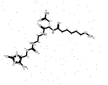 CSCCCCCC(=O)N[C@@H](CC(=O)O)C(=O)NCCNC(=O)OCc1oc(=O)oc1C